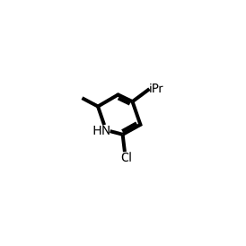 CC1C=C(C(C)C)C=C(Cl)N1